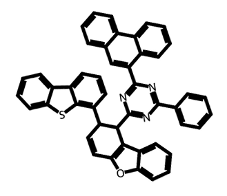 C1=CC(c2cccc3c2sc2ccccc23)C(c2nc(-c3ccccc3)nc(-c3cc4ccccc4c4ccccc34)n2)c2c1oc1ccccc21